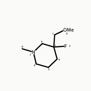 COCC1(F)CCCN(C)C1